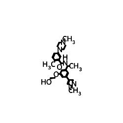 Cc1ccc(N2CCN(C)CC2)cc1C(=O)NC(C)c1cc(OCCO)cc(-c2cnn(C)c2)c1